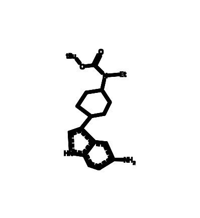 CCN(C(=O)OC(C)(C)C)C1CCC(c2c[nH]c3ccc(N)cc23)CC1